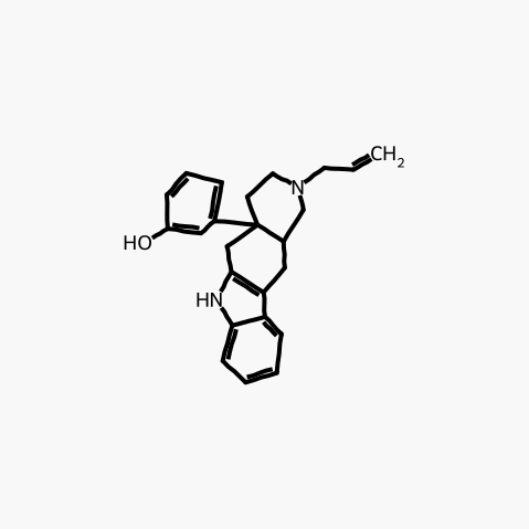 C=CCN1CCC2(c3cccc(O)c3)Cc3[nH]c4ccccc4c3CC2C1